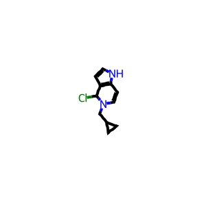 ClC1c2cc[nH]c2C=CN1CC1CC1